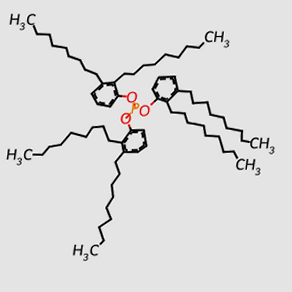 CCCCCCCCCc1cccc(OP(Oc2cccc(CCCCCCCCC)c2CCCCCCCCC)Oc2cccc(CCCCCCCCC)c2CCCCCCCCC)c1CCCCCCCCC